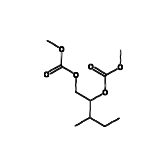 CCC(C)C(COC(=O)OC)OC(=O)OC